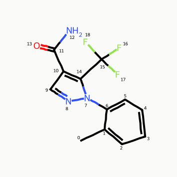 Cc1ccccc1-n1ncc(C(N)=O)c1C(F)(F)F